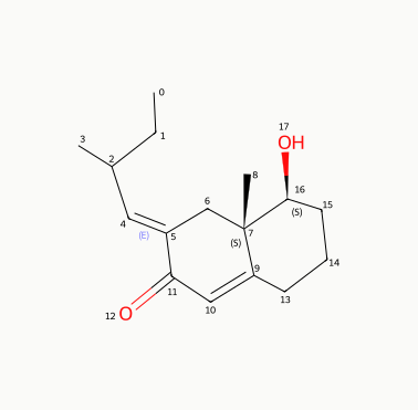 CCC(C)/C=C1\C[C@@]2(C)C(=CC1=O)CCC[C@@H]2O